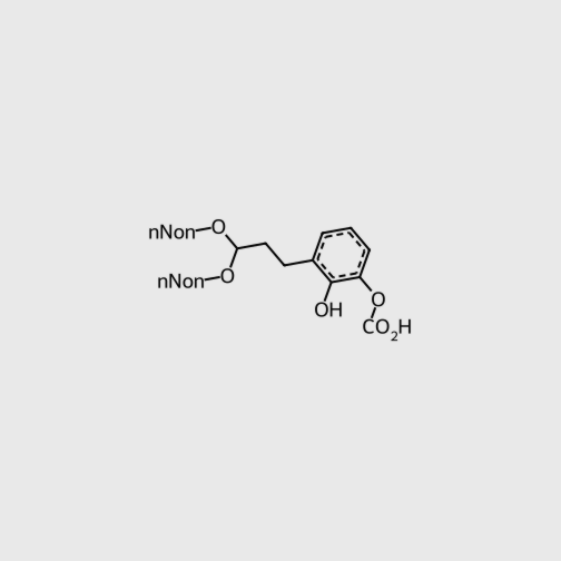 CCCCCCCCCOC(CCc1cccc(OC(=O)O)c1O)OCCCCCCCCC